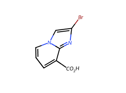 O=C(O)c1cccn2cc(Br)nc12